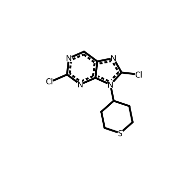 Clc1ncc2nc(Cl)n(C3CCSCC3)c2n1